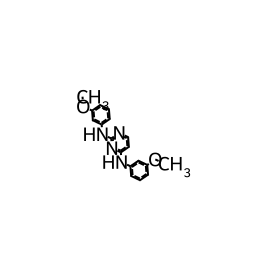 COc1cccc(Nc2ccnc(Nc3cccc(OC)c3)n2)c1